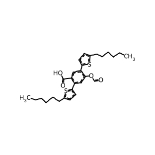 CCCCCCc1ccc(-c2cc(C(=O)O)c(-c3ccc(CCCCCC)s3)cc2OC=O)s1